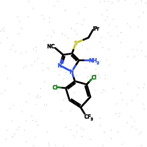 CC(C)CSc1c(C#N)nn(-c2c(Cl)cc(C(F)(F)F)cc2Cl)c1N